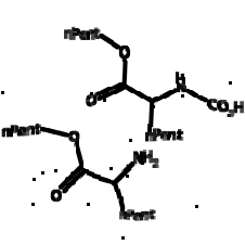 CCCCCOC(=O)C(CCCCC)NC(=O)O.CCCCCOC(=O)C(N)CCCCC